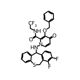 O=C(NCC(F)(F)F)c1c(OCc2ccccc2)c(=O)ccn1NC1c2ccccc2SCc2c1ccc(F)c2F